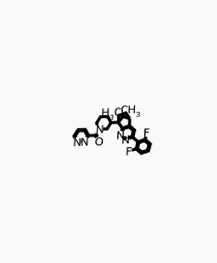 CC1(C)C2CCC1(C1CCCN(C(=O)c3cccnn3)C1)c1nnc(-c3c(F)cccc3F)cc12